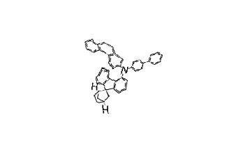 c1ccc(-c2ccc(N(c3ccc4c(ccc5ccccc54)c3)c3cccc4c3-c3ccccc3[C@]43C[C@H]4CC[C@@H]3C4)cc2)cc1